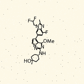 COc1nc(N[C@H]2CC[C@@](C)(O)CC2)nn2ccc(-c3cc(F)c4nc(C)n(CC(F)F)c4c3)c12